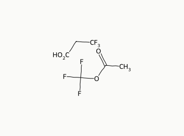 CC(=O)OC(F)(F)F.O=C(O)CC(F)(F)F